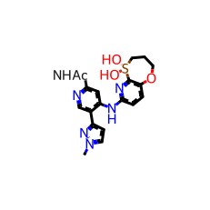 CC(=O)Nc1cc(Nc2ccc3c(n2)S(O)(O)CCCO3)c(-c2ccn(C)n2)cn1